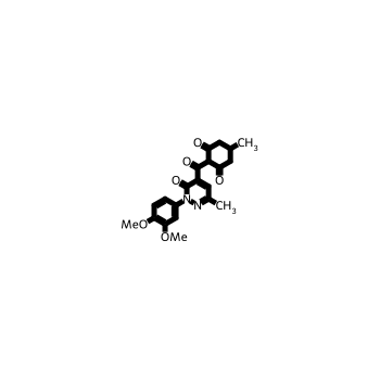 COc1ccc(-n2nc(C)cc(C(=O)C3C(=O)CC(C)CC3=O)c2=O)cc1OC